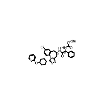 CC(C)(C)OC(=O)N[C@@H](C(=O)N[C@@H]1Cc2cc(Cl)ccc2-n2c(nnc2[C@H]2CC[C@H](Oc3ccccn3)CC2)C1)c1ccccc1